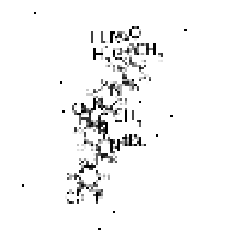 CC(C)(C(N)=O)c1ccnc(N2CCN(C(=O)c3ccc4c(-c5ccc(Cl)c(F)c5)cn(C(C)(C)C)c4n3)C(C)(C)C2)c1